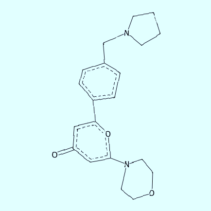 O=c1cc(-c2ccc(CN3CCCC3)cc2)oc(N2CCOCC2)c1